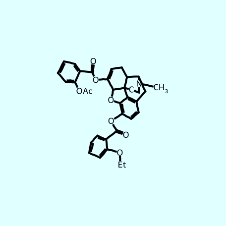 CCOc1ccccc1C(=O)Oc1ccc2c3c1OC1C(OC(=O)c4ccccc4OC(C)=O)=CCC4C(C2)N(C)CCC314